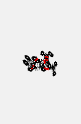 C/C=C\C(=C(\c1cc(-c2ccccc2)nc(-c2cccc(-c3ccc4c5c3N(c3ccccc3)c3ccccc3B5c3ccccc3N4c3ccccc3)c2)n1)C(C)(CNC(=N)c1ccccc1)c1ccccc1)n1c2ccc(-c3nc(-c4ccccc4)nc(-c4ccccc4)n3)cc2c2cc(-c3nc(-c4ccccc4)nc(-c4ccccc4)n3)ccc21